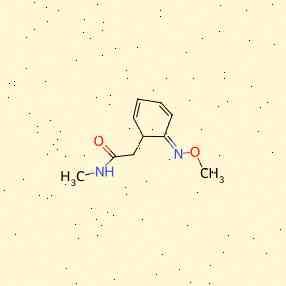 CNC(=O)CC1C=CC=CC1=NOC